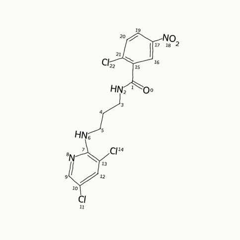 O=C(NCCCNc1ncc(Cl)cc1Cl)c1cc([N+](=O)[O-])ccc1Cl